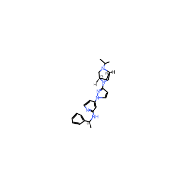 CC(C)N1C[C@@H]2C[C@H]1CN2c1ccn(-c2ccnc(N[C@@H](C)c3ccccc3)c2)n1